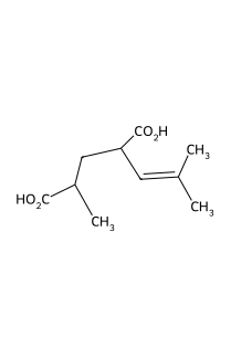 CC(C)=CC(CC(C)C(=O)O)C(=O)O